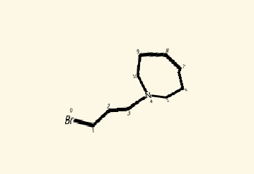 BrCCCN1CCCCCC1